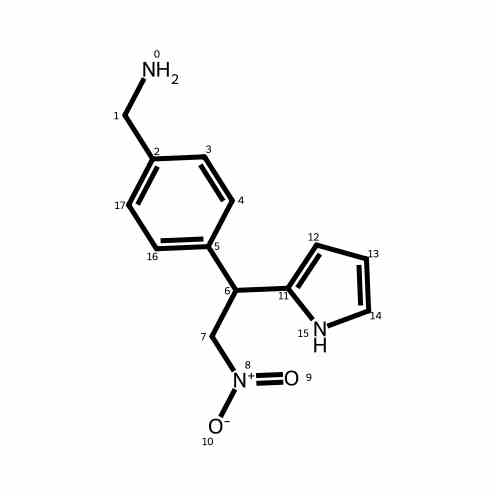 NCc1ccc(C(C[N+](=O)[O-])c2ccc[nH]2)cc1